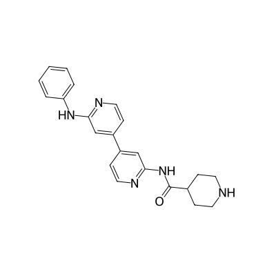 O=C(Nc1cc(-c2ccnc(Nc3ccccc3)c2)ccn1)C1CCNCC1